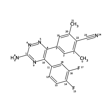 Cc1cc(-c2nnc(N)nc2-c2ccc(F)c(F)c2)cc(C)c1C#N